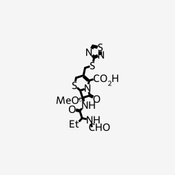 CCC(NC=O)C(=O)N[C@]1(OC)C(=O)N2C(C(=O)O)=C(CSc3ncsn3)CSC21